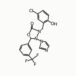 O=C1OC(c2cccc(C(F)(F)F)c2)N(n2ccnc2)N1Cc1cc(Cl)ccc1O